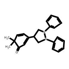 CC1(C)C=CC(C2CN(c3ccccc3)N(c3ccccc3)C2)=CC1=O